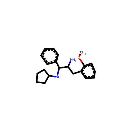 COc1ccccc1CC(N)C(NC1CCCC1)c1ccccc1